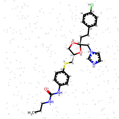 CCCNC(=O)Nc1ccc(SC[C@@H]2CO[C@](CCc3ccc(Cl)cc3)(Cn3ccnc3)O2)cc1